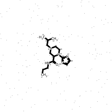 CCCNC(=O)C1CN(CC(C)C)CCN1c1nccs1